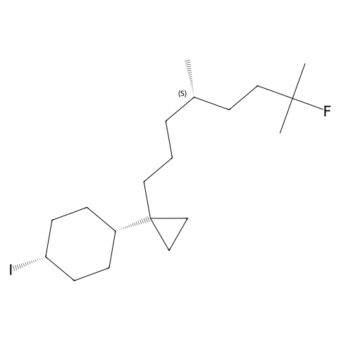 C[C@@H](CCCC1([C@H]2CC[C@@H](I)CC2)CC1)CCC(C)(C)F